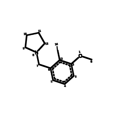 COc1cccc(CN2CCCC2)c1I